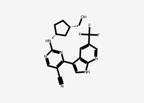 N#Cc1cnc(N[C@@H]2CC[C@H](CO)C2)nc1-c1c[nH]c2ncc(C(F)(F)F)cc12